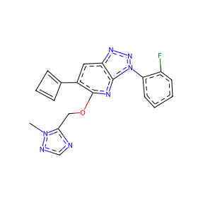 Cn1ncnc1COc1nc2c(cc1C1=CC=C1)nnn2-c1ccccc1F